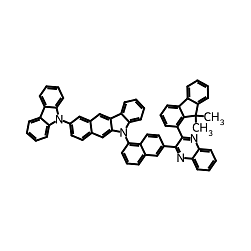 CC1(C)c2ccccc2-c2cccc(-c3nc4ccccc4nc3-c3ccc4c(-n5c6ccccc6c6cc7cc(-n8c9ccccc9c9ccccc98)ccc7cc65)cccc4c3)c21